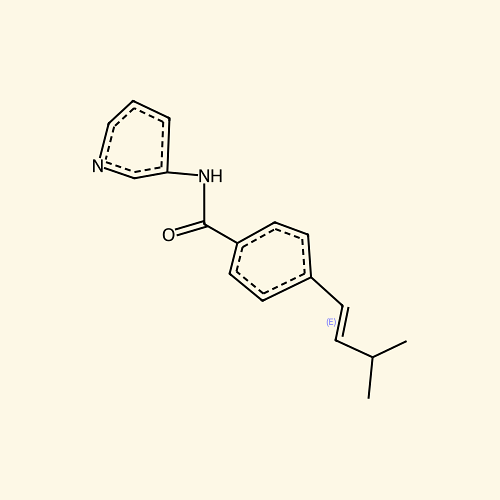 CC(C)/C=C/c1ccc(C(=O)Nc2cccnc2)cc1